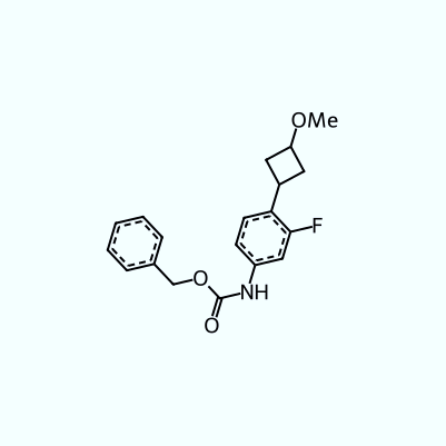 COC1CC(c2ccc(NC(=O)OCc3ccccc3)cc2F)C1